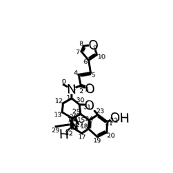 CN(C(=O)/C=C/c1ccoc1)C1CC[C@@]2(C)[C@H]3Cc4ccc(O)c5c4[C@@]2(CCN3C)C1O5